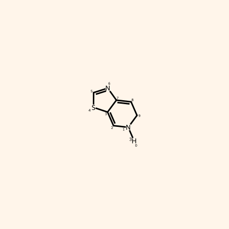 [3H]N1C=c2scnc2=CC1